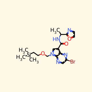 CC(NC(=O)c1cn(COCC[Si](C)(C)C)c2ncc(Br)nc12)c1ncco1